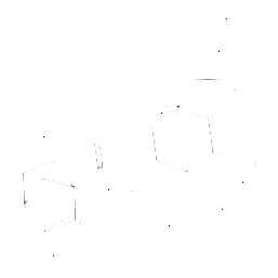 CC1CC(OC(=O)C23C=CC(CC2)C3)CC(C)(C(C)C)C1